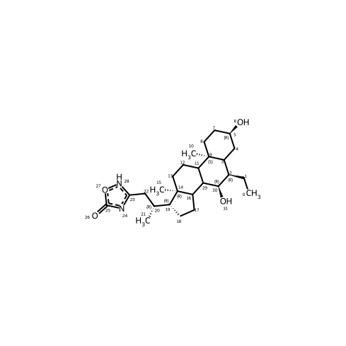 CC[C@@H]1C2C[C@H](O)CC[C@]2(C)C2CC[C@@]3(C)C(CC[C@@H]3[C@H](C)Cc3nc(=O)o[nH]3)C2[C@@H]1O